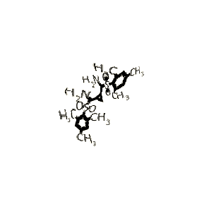 Cc1cc(C)c(S(=O)(=O)C(N)C2CC2C(N)S(=O)(=O)c2c(C)cc(C)cc2C)c(C)c1